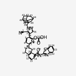 N#Cc1c(-c2ccc(N3CCc4cccc(C(=O)Nc5nc6ccccc6s5)c4C3)nc2OC(=O)O)cnn1CC12CC3CC(CC(C3)C1)C2